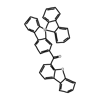 O=C(c1ccc2c(c1)[Si]1(c3ccccc3-c3ccccc31)c1ccccc1-2)c1cccc2c1oc1ccccc12